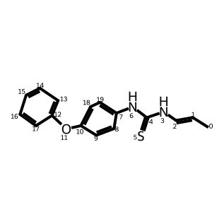 CC=CNC(=S)Nc1ccc(Oc2ccccc2)cc1